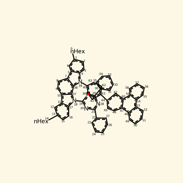 CCCCCCc1ccc2c(c1)c1ccc3c4cc(CCCCCC)ccc4n(-c4nc(-c5ccccc5)nc(-c5ccccc5)n4)c3c1n2-c1ccc(-c2ccc3c4ccccc4c4ccccc4c3c2)cc1